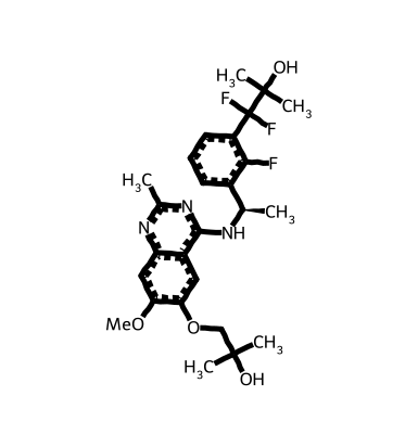 COc1cc2nc(C)nc(N[C@H](C)c3cccc(C(F)(F)C(C)(C)O)c3F)c2cc1OCC(C)(C)O